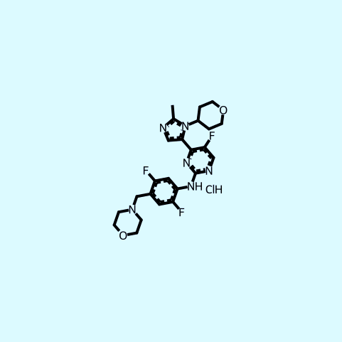 Cc1ncc(-c2nc(Nc3cc(F)c(CN4CCOCC4)cc3F)ncc2F)n1C1CCOCC1.Cl